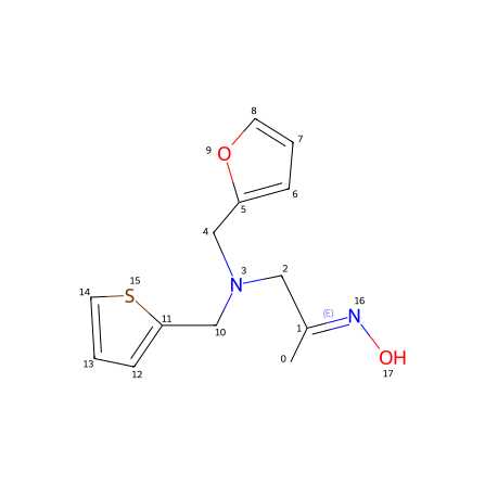 C/C(CN(Cc1ccco1)Cc1cccs1)=N\O